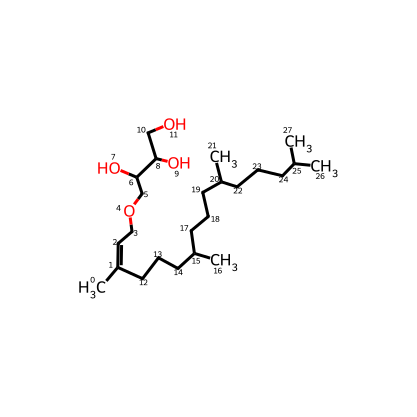 CC(=CCOCC(O)C(O)CO)CCCC(C)CCCC(C)CCCC(C)C